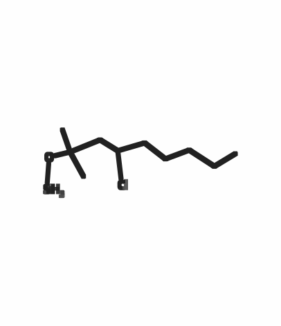 CCCCCC(Cl)CC(C)(C)O[SiH3]